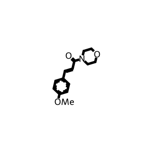 COc1ccc(/C=C/C(=O)N2CCOCC2)cc1